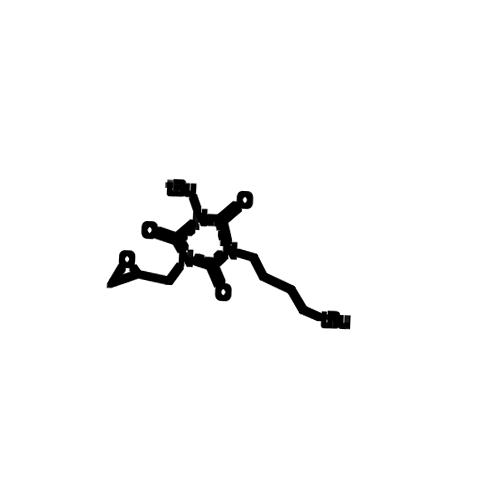 CC(C)(C)CCCCn1c(=O)n(CC2CO2)c(=O)n(C(C)(C)C)c1=O